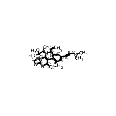 C=CCN(c1c(-c2c(C)cc(C#CCN(C)C)cc2F)c(Cl)nc2ncnn12)[C@H](C)C(C)(C)C